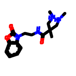 CNCC(C)(CNC)C(=O)NCCn1c(=O)oc2ccccc21